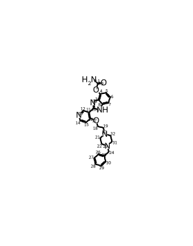 NC(=O)Oc1cccc2[nH]c(-c3cnccc3OCCN3CCN(Cc4ccccc4)CC3)nc12